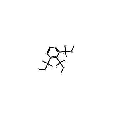 CCC(C)(C)c1cccc(C(C)(C)CC)c1C(C)(C)CC